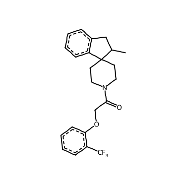 CC1Cc2ccccc2C12CCN(C(=O)COc1ccccc1C(F)(F)F)CC2